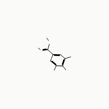 CCO/C(=N\O)c1cc(O)c(O)c(O)c1